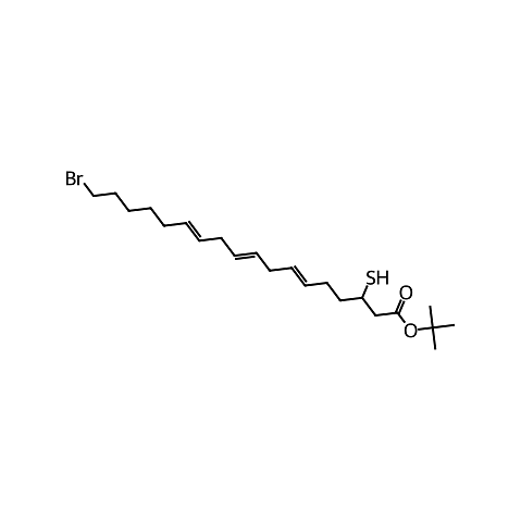 CC(C)(C)OC(=O)CC(S)CCC=CCC=CCC=CCCCCCBr